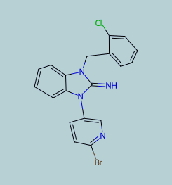 N=c1n(Cc2ccccc2Cl)c2ccccc2n1-c1ccc(Br)nc1